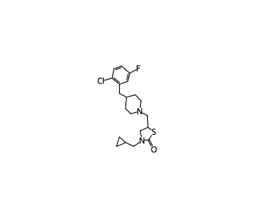 O=C1SC(CN2CCC(Cc3cc(F)ccc3Cl)CC2)CN1CC1CC1